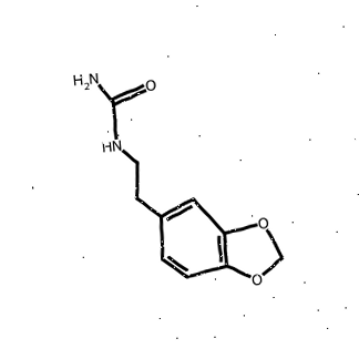 NC(=O)NCCc1ccc2c(c1)OCO2